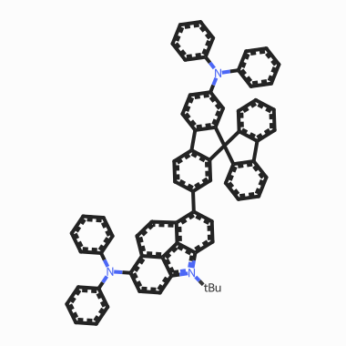 CC(C)(C)n1c2ccc(-c3ccc4c(c3)C3(c5ccccc5-c5ccccc53)c3cc(N(c5ccccc5)c5ccccc5)ccc3-4)c3ccc4c(N(c5ccccc5)c5ccccc5)ccc1c4c32